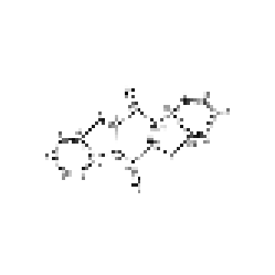 O=C1C2=Cc3ccccc3C2C(=O)C2=C1c1ccccc1C2